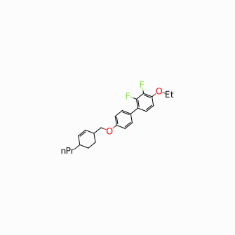 CCCC1C=CC(COc2ccc(-c3ccc(OCC)c(F)c3F)cc2)CC1